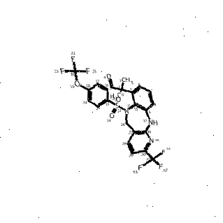 CC(C)(C=O)c1cccc2c1N(S(=O)(=O)c1ccc(OC(F)(F)F)cc1)Cc1ccc(C(F)(F)F)nc1N2